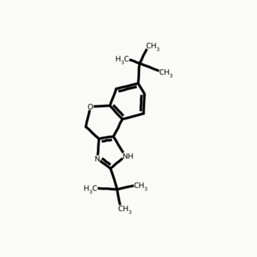 CC(C)(C)c1ccc2c(c1)OCc1nc(C(C)(C)C)[nH]c1-2